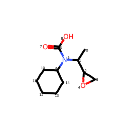 CC(C1CO1)N(C(=O)O)C1CCCCC1